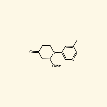 COC1CC(=O)CCN1c1cncc(C)c1